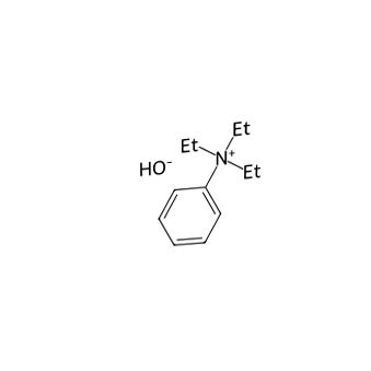 CC[N+](CC)(CC)c1ccccc1.[OH-]